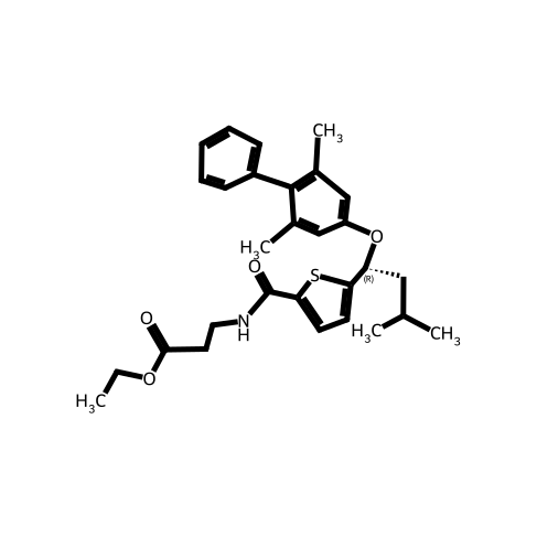 CCOC(=O)CCNC(=O)c1ccc([C@@H](CC(C)C)Oc2cc(C)c(-c3ccccc3)c(C)c2)s1